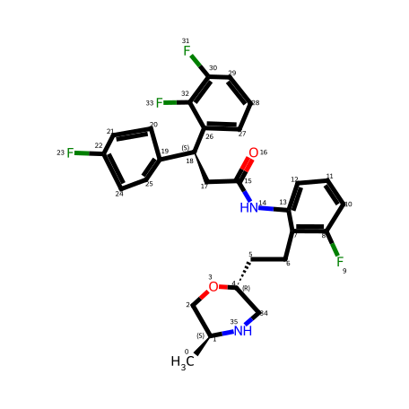 C[C@H]1CO[C@H](CCc2c(F)cccc2NC(=O)C[C@@H](c2ccc(F)cc2)c2cccc(F)c2F)CN1